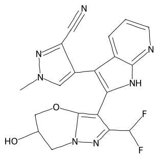 Cn1cc(-c2c(-c3c(C(F)F)nn4c3OCC(O)C4)[nH]c3ncccc23)c(C#N)n1